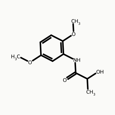 COc1ccc(OC)c(NC(=O)C(C)O)c1